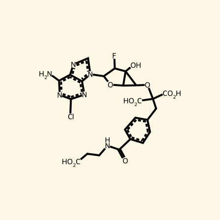 Nc1nc(Cl)nc2c1ncn2C1OC2C(OC(Cc3ccc(C(=O)NCCC(=O)O)cc3)(C(=O)O)C(=O)O)C2(O)C1F